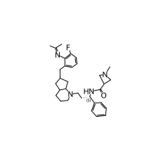 CC(C)=Nc1c(F)cccc1CC1CC2CCCN(CC[C@H](NC(=O)C3CN(C)C3)c3ccccc3)C2C1